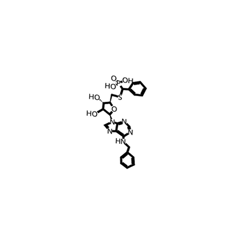 O=P(O)(O)C(SC[C@H]1O[C@@H](n2cnc3c(NCc4ccccc4)ncnc32)C(O)[C@@H]1O)c1ccccc1